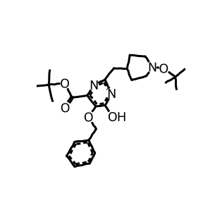 CC(C)(C)OC(=O)c1nc(CC2CCN(OC(C)(C)C)CC2)nc(O)c1OCc1ccccc1